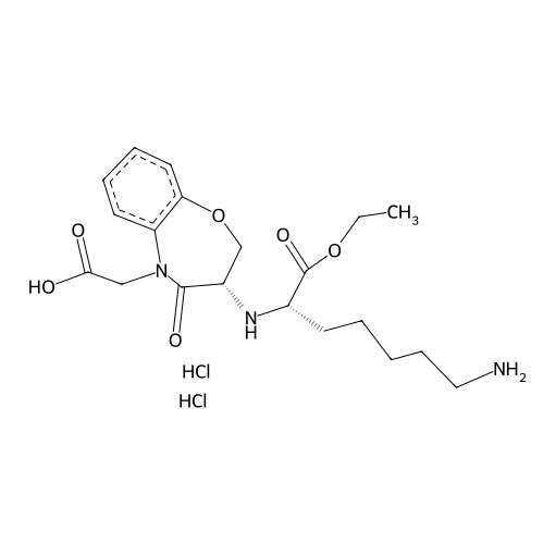 CCOC(=O)[C@H](CCCCCN)N[C@H]1COc2ccccc2N(CC(=O)O)C1=O.Cl.Cl